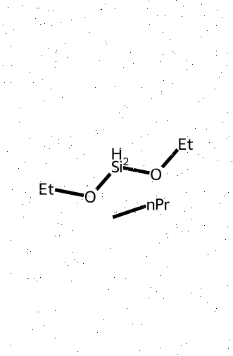 CCCC.CCO[SiH2]OCC